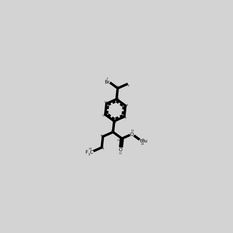 CC(Br)c1ccc(C(CCC(F)(F)F)C(=O)OC(C)(C)C)cc1